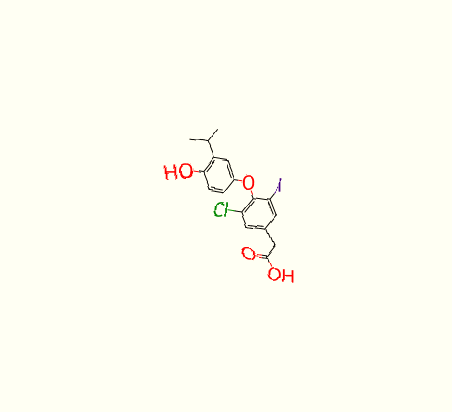 CC(C)c1cc(Oc2c(Cl)cc(CC(=O)O)cc2I)ccc1O